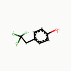 Oc1ccc(CC(Cl)(Cl)Cl)cc1